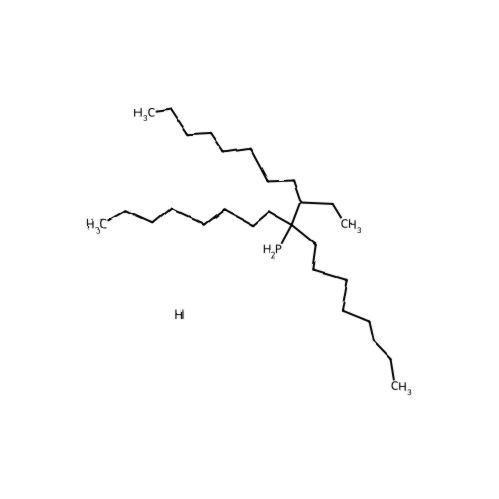 CCCCCCCCC(CC)C(P)(CCCCCCCC)CCCCCCCC.I